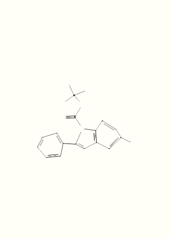 CC(C)(C)OC(=O)n1c(-c2ccccc2)cc2cc(F)ccc21